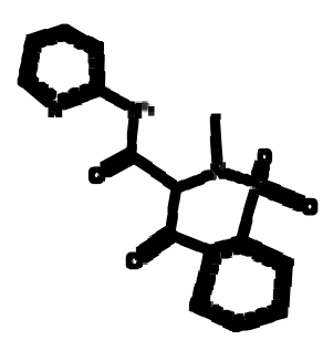 CN1C(C(=O)[N+]c2ccccn2)C(=O)c2ccccc2S1(=O)=O